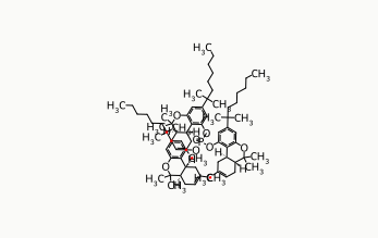 CCCCCCC(C)(C)c1cc2c(c(OP(=O)(Oc3cc(C(C)(C)CCCCCC)cc4c3[C@@H]3CC(C)=CC[C@H]3C(C)(C)O4)Oc3cc(C(C)(C)CCCCCC)cc4c3[C@@H]3CC(C)=CC[C@H]3C(C)(C)O4)c1)[C@@H]1CC(C)=CC[C@H]1C(C)(C)O2